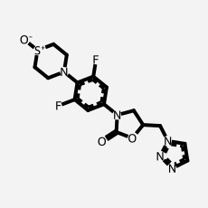 O=C1OC(Cn2ccnn2)CN1c1cc(F)c(N2CC[S+]([O-])CC2)c(F)c1